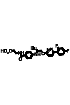 CCC(C)C(COc1ccc(-c2ccc(F)cc2F)nn1)Nc1ccc(C(=O)NCCC(=O)O)cc1